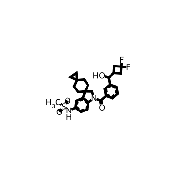 CS(=O)(=O)Nc1ccc2c(c1)C1(CCC3(CC3)CC1)CN2C(=O)c1cccc(C(O)C2CC(F)(F)C2)c1